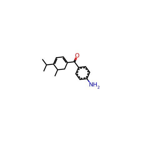 CC(C)C1=CC=C(C(=O)c2ccc(N)cc2)CC1C